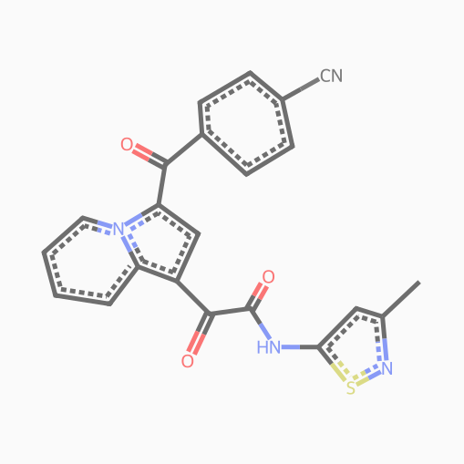 Cc1cc(NC(=O)C(=O)c2cc(C(=O)c3ccc(C#N)cc3)n3ccccc23)sn1